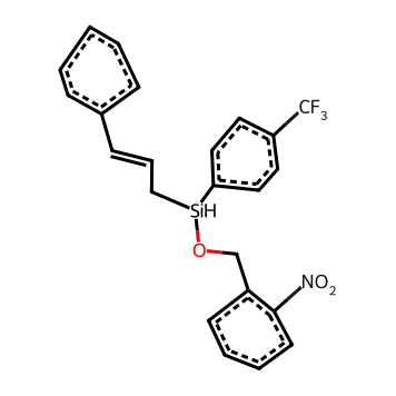 O=[N+]([O-])c1ccccc1CO[SiH](CC=Cc1ccccc1)c1ccc(C(F)(F)F)cc1